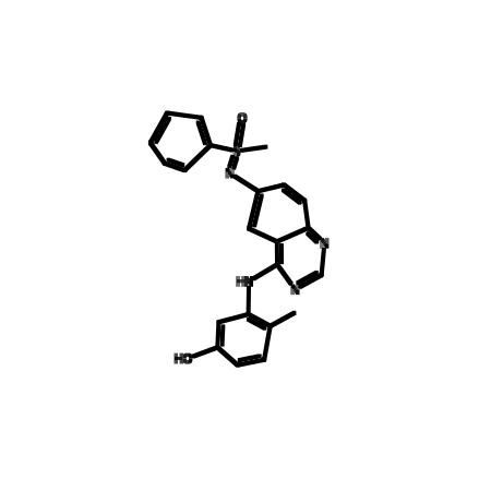 Cc1ccc(O)cc1Nc1ncnc2ccc(N=S(C)(=O)c3ccccc3)cc12